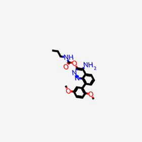 CCCNC(=O)Oc1nnc2c(-c3cc(OC)ccc3OC)cccc2c1N